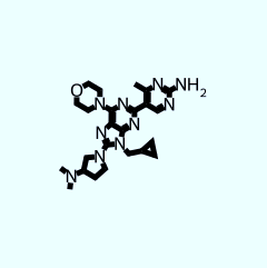 Cc1nc(N)ncc1-c1nc(N2CCOCC2)c2nc(N3CCC(N(C)C)C3)n(CC3CC3)c2n1